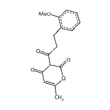 COc1ccccc1CCC(=O)C1C(=O)C=C(C)OC1=O